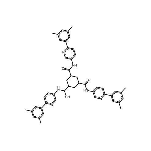 Cc1cc(C)cc(-c2ccc(NC(=O)C3CC(C(=O)Nc4ccc(-c5cc(C)cc(C)c5)nc4)CC(C(O)Nc4ccc(-c5cc(C)cc(C)c5)nc4)C3)cn2)c1